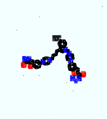 N#Cc1ccc2c(c1)c(CCCCN1CCN(c3ccc4oc(C(N)=O)cc4c3)CC1)cn2CN1CCN(c2ccc3oc(C(N)=O)cc3c2)CC1